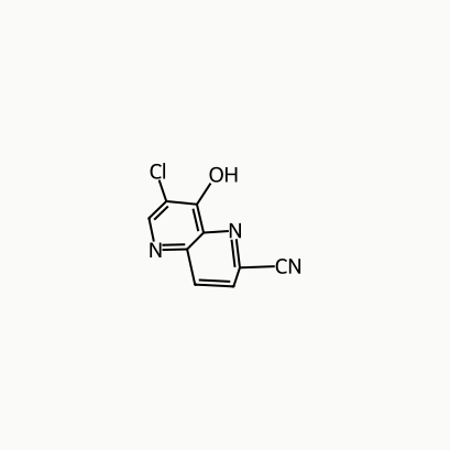 N#Cc1ccc2ncc(Cl)c(O)c2n1